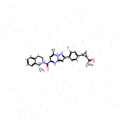 CCc1cc(C(=O)N2CCc3ccccc3[C@H]2C)nc2cc(-c3ccc(C4CC4C(=O)OC)cc3F)nn12